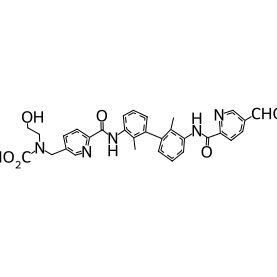 Cc1c(NC(=O)c2ccc(C=O)cn2)cccc1-c1cccc(NC(=O)c2ccc(CN(CCO)C(=O)O)cn2)c1C